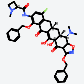 CN(C)[C@@H]1C2ON=C(OCc3ccccc3)C2C(=O)[C@@]2(O)C(O)=C3C(=O)c4c(c(F)cc(NC(=O)[C@@H]5CCN5C)c4OCc4ccccc4)C[C@H]3C[C@@H]12